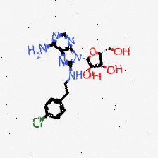 Nc1ncnc2c1nc(NCCc1ccc(Cl)cc1)n2[C@@H]1O[C@H](CO)[C@@H](O)[C@H]1O